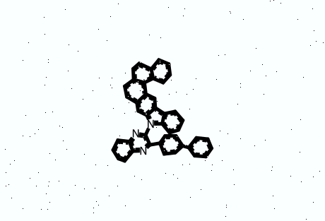 c1ccc(-c2ccc(-c3nc4ccccc4nc3-n3c4ccccc4c4cc5c(ccc6ccc7ccccc7c65)cc43)cc2)cc1